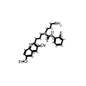 CCOc1ccc2nc(CCCN(CCCN)C(=S)Nc3ccccc3F)c(C#N)cc2c1